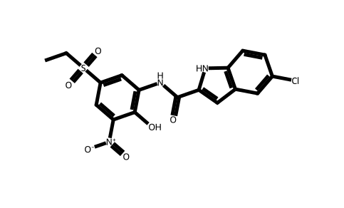 CCS(=O)(=O)c1cc(NC(=O)c2cc3cc(Cl)ccc3[nH]2)c(O)c([N+](=O)[O-])c1